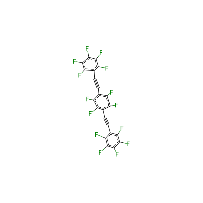 Fc1c(F)c(F)c(C#Cc2c(F)c(F)c(C#Cc3c(F)c(F)c(F)c(F)c3F)c(F)c2F)c(F)c1F